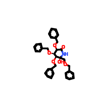 O=C1N[C@@](O)(COCc2ccccc2)[C@@H](OCc2ccccc2)[C@H](OCc2ccccc2)[C@H]1OCc1ccccc1